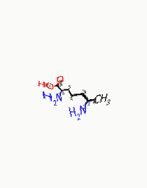 CC(N)CCC[C@@H](N)C(=O)O